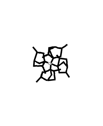 CC1C[C]2([Cr]([C]34CC(C)C(CC3C)C4)([C]34CC(C)C(CC3C)C4)[C]34CC(C)C(CC3C)C4)CC1CC2C